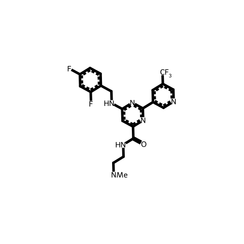 CNCCNC(=O)c1cc(NCc2ccc(F)cc2F)nc(-c2cncc(C(F)(F)F)c2)n1